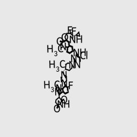 C[C@@H]1CN(c2ncc(Cl)c(Nc3ccc4c(c3)c3c(c(=O)n4C)OCC(F)(F)[C@H](C4CC4)N3)n2)CC[C@@H]1CN1CCN(c2c(F)ccc3c(C4CCC(=O)NC4=O)nn(C)c23)CC1